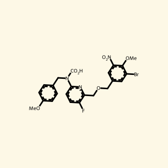 COc1ccc(CN(C(=O)O)c2ccc(F)c(COCc3cc(Br)c(OC)c([N+](=O)[O-])c3)n2)cc1